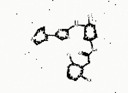 Cc1ccc(NC(=O)Cc2c(Cl)cccc2Cl)cc1Nc1ncc(-c2ccncc2)o1